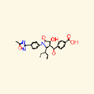 CCC(CC)C1C(C(=O)c2ccc(C(=O)O)cc2)=C(O)C(=O)N1c1ccc(-c2noc(C)n2)cc1